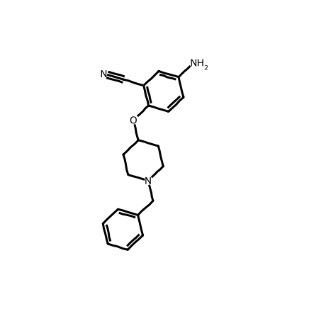 N#Cc1cc(N)ccc1OC1CCN(Cc2ccccc2)CC1